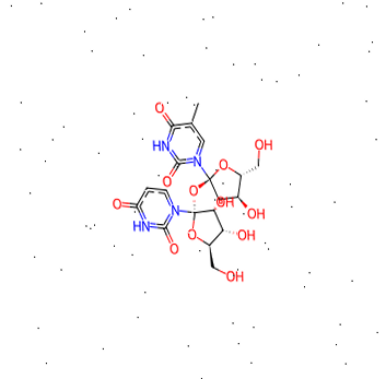 Cc1cn([C@@]2(O[C@@]3(n4ccc(=O)[nH]c4=O)O[C@H](CO)[C@@H](O)[C@H]3O)C[C@H](O)[C@@H](CO)O2)c(=O)[nH]c1=O